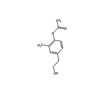 CC(=O)Oc1ccc(CCO)cc1C